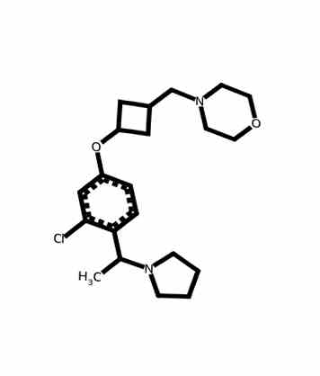 CC(c1ccc(OC2CC(CN3CCOCC3)C2)cc1Cl)N1CCCC1